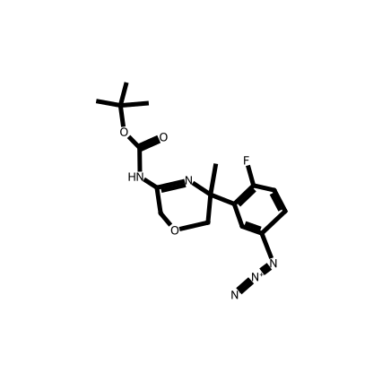 CC(C)(C)OC(=O)NC1=NC(C)(c2cc(N=[N+]=[N-])ccc2F)COC1